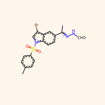 C/C(=N\NC=O)c1ccc2c(c1)c(Br)cn2S(=O)(=O)c1ccc(C)cc1